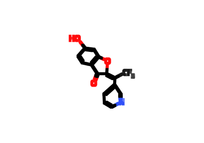 O=C1C(=C(c2cccnc2)C(F)(F)F)Oc2cc(O)ccc21